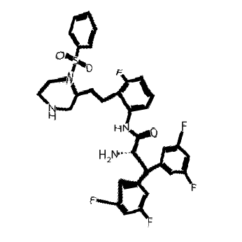 N[C@H](C(=O)Nc1cccc(F)c1CCC1CNCCN1S(=O)(=O)c1ccccc1)C(c1cc(F)cc(F)c1)c1cc(F)cc(F)c1